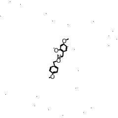 COc1ccc(CO/N=C/c2ccc(OC)cc2OC)cc1